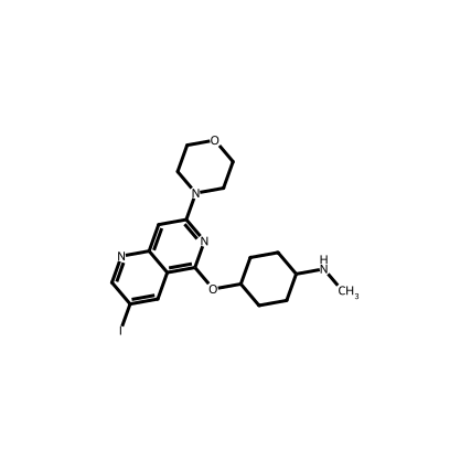 CNC1CCC(Oc2nc(N3CCOCC3)cc3ncc(I)cc23)CC1